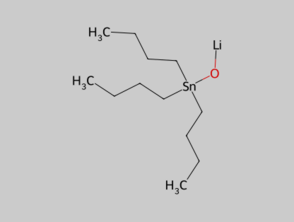 [Li][O][Sn]([CH2]CCC)([CH2]CCC)[CH2]CCC